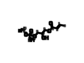 CC=CC(=O)OCC(O)COP(=O)(CCC)OCCC